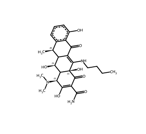 CCCCNC1=C2C(=O)c3c(O)cccc3[C@H](C)C2[C@H](O)C2[C@H](N(C)C)C(O)=C(C(N)=O)C(=O)[C@@]12O